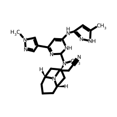 Cc1cc(NC2=CC(c3cnn(C)c3)=NC(N(C)[C@@H]3C[C@H]4CCC[C@@H](C3)N4CCC#N)N2)n[nH]1